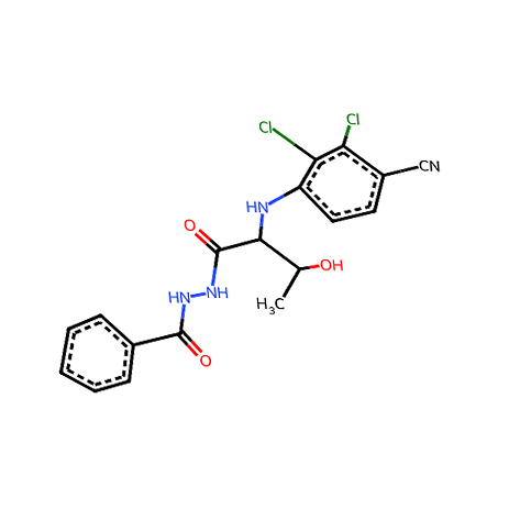 CC(O)C(Nc1ccc(C#N)c(Cl)c1Cl)C(=O)NNC(=O)c1ccccc1